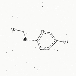 Oc1ccc(NCC(F)(F)F)nc1